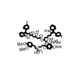 CC(C)n1c(/C=C/[C@H](O)C[C@H](O)CC(=O)O[C@H](CC(=O)O)C[C@@H](O)/C=C/c2c(-c3ccc(F)cc3)c3ccccc3n2C(C)C)c(-c2ccc(F)cc2)c2ccccc21.COc1ccc(CCN(C)CCCC(C#N)(c2ccc(OC)c(OC)c2)C(C)C)cc1OC.Cl